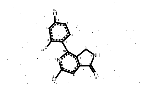 O=C1NCc2c1cc(Cl)nc2-c1ccc(Cl)cc1F